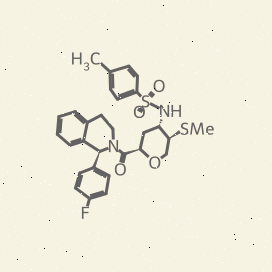 CS[C@H]1CO[C@@H](C(=O)N2CCc3ccccc3[C@@H]2c2ccc(F)cc2)C[C@@H]1NS(=O)(=O)c1ccc(C)cc1